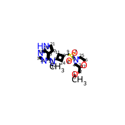 COCC1CN(S(=O)(=O)C[C@H]2C[C@@H](N(C)c3ncnc4[nH]ccc34)C2)CCO1